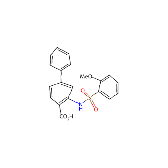 COc1ccccc1S(=O)(=O)Nc1cc(-c2ccccc2)ccc1C(=O)O